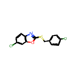 Clc1ccc(CSc2nc3ccc(Cl)cc3o2)cc1